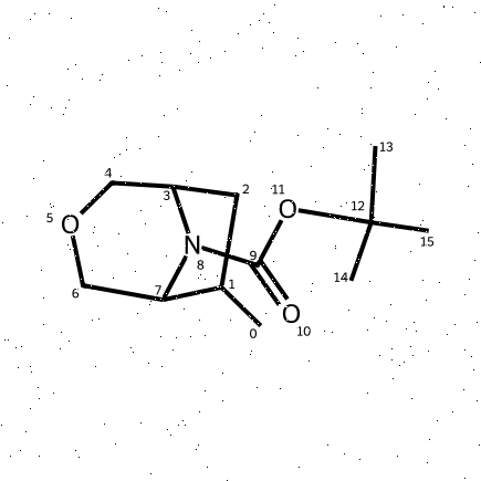 CC1CC2COCC1N2C(=O)OC(C)(C)C